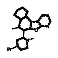 Cc1c(-c2cc(C(C)C)cc[n+]2C)c2oc3ncccc3c2c2ccccc12